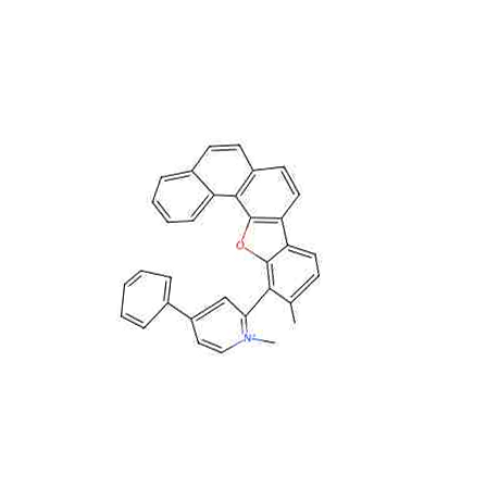 Cc1ccc2c(oc3c2ccc2ccc4ccccc4c23)c1-c1cc(-c2ccccc2)cc[n+]1C